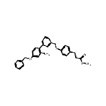 COC(=O)CCc1ccc(OCc2cccc(-c3ccc(OCc4ccccc4)cc3C)c2)cc1